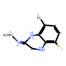 CCc1ccc(F)c2c1N/C(=N\NC(C)=O)CN2